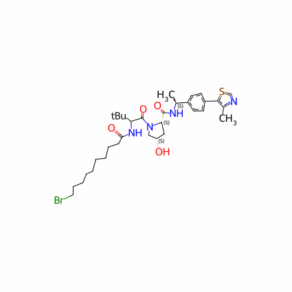 Cc1ncsc1-c1ccc([C@H](C)NC(=O)[C@@H]2C[C@H](O)CN2C(=O)C(NC(=O)CCCCCCCCCBr)C(C)(C)C)cc1